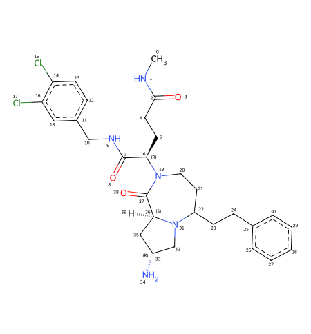 CNC(=O)CC[C@H](C(=O)NCc1ccc(Cl)c(Cl)c1)N1CCC(CCc2ccccc2)N2C[C@H](N)C[C@H]2C1=O